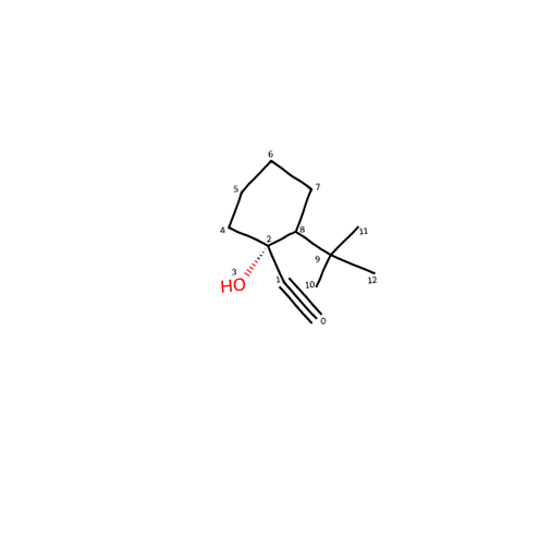 C#C[C@@]1(O)CCCCC1C(C)(C)C